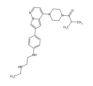 CCNCCNc1ccc(-c2cc3c(N4CCN(C(=O)C(C)C)CC4)ccnn3c2)cc1